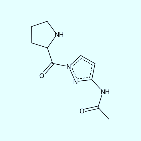 CC(=O)Nc1ccn(C(=O)C2CCCN2)n1